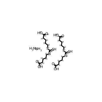 N.N.O=C(O)CCCCN=C(S)SCCCCC(=O)O.O=C(O)CCCCN=C(S)SCCCCC(=O)O